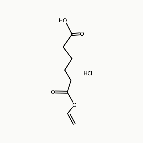 C=COC(=O)CCCCC(=O)O.Cl